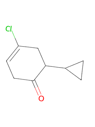 O=C1CC=C(Cl)CC1C1CC1